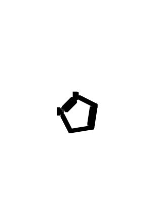 B1=NCC=C1